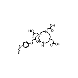 O=C(O)CN1CCNCC[N+](CC(=O)O)(CC(O)COc2ccc(N=C=S)cc2)CCN(CC(=O)O)CC1